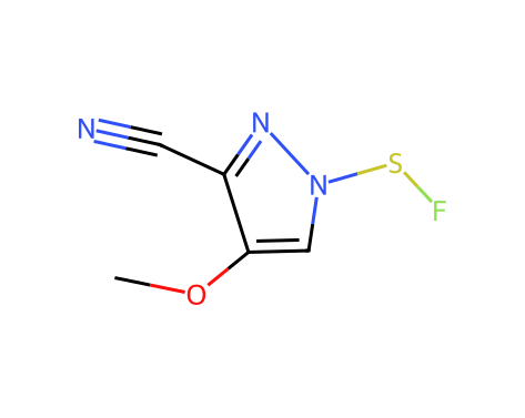 COc1cn(SF)nc1C#N